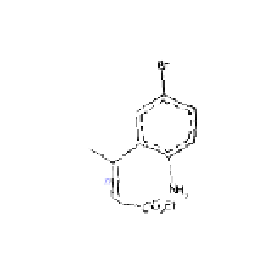 CCOC(=O)/C=C(/C)c1cc(Br)ccc1N